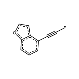 FC#Cc1cccc2o[c]cc12